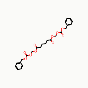 O=C(CCCCC(=O)OCOC(=O)OCc1ccccc1)OCOC(=O)OCc1ccccc1